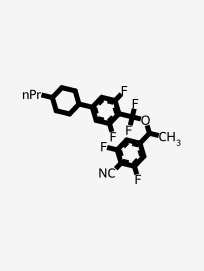 CCCC1CCC(c2cc(F)c(C(F)(F)OC(C)c3cc(F)c(C#N)c(F)c3)c(F)c2)CC1